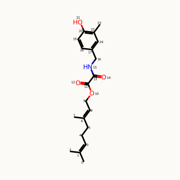 CC(C)=CCC/C(C)=C/COC(=O)C(=O)NCc1ccc(O)c(C)c1